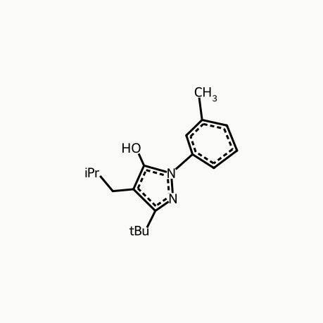 Cc1cccc(-n2nc(C(C)(C)C)c(CC(C)C)c2O)c1